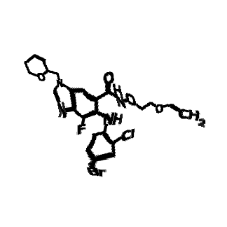 C=COCCONC(=O)c1cc2c(ncn2CC2CCCCO2)c(F)c1Nc1ccc(Br)cc1Cl